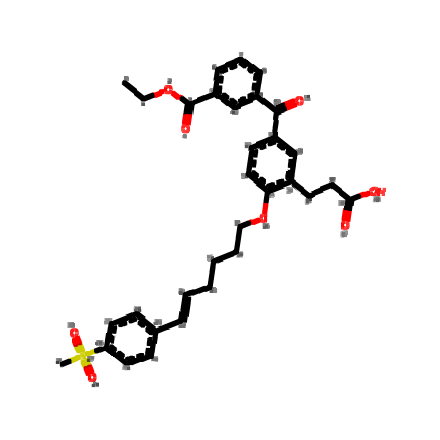 CCOC(=O)c1cccc(C(=O)c2ccc(OCCCC/C=C/c3ccc(S(C)(=O)=O)cc3)c(CCC(=O)O)c2)c1